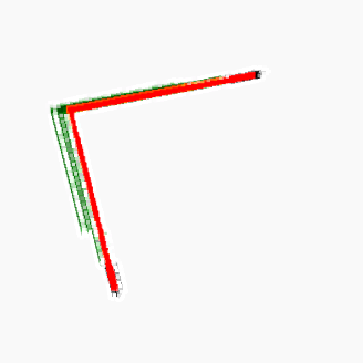 Cl.Cl.Cl.Cl.Cl.Cl.Cl.Cl.Cl.Cl.Cl.Cl.Cl.Cl.Cl.Cl.Cl.Cl.Cl.Cl.Cl.Cl.Cl.Cl.Cl.Cl.Cl.Cl.Cl.Cl.Cl.Cl.Cl.Cl.Cl.Cl.Cl.Cl.Cl.Cl.Cl.Cl.Cl.Cl.Cl.Cl.Cl.Cl.Cl.Cl.Cl.Cl.Cl.Cl.Cl.Cl.Cl.Cl.Cl.Cl.Cl.Cl.Cl.Cl.Cl.Cl.Cl.Cl.Cl.Cl.Cl.Cl.Cl.Cl.Cl.Cl.Cl.Cl.Cl.Cl.[Cl-].[Cl-].[Cl-].[Cl-].[Cl-].[Cl-].[Cl-].[Cl-].[Cl-].[Cl-].[Cl-].[Cl-].[Cl-].[Cl-].[Cl-].[Cl-].[Cl-].[Cl-].[Cl-].[Cl-].[K+].[K+].[K+].[K+].[K+].[K+].[K+].[K+].[K+].[K+].[K+].[K+].[K+].[K+].[K+].[K+].[K+].[K+].[K+].[K+]